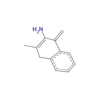 C=C1C(N)=C(C)Cc2ccccc21